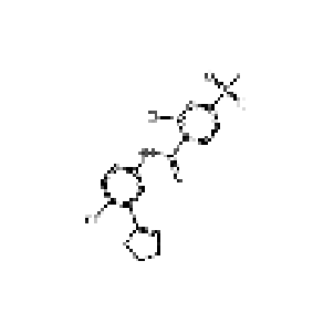 CS(=O)(=O)c1ccc(C(=O)Nc2ccc(Cl)c(C3=CCCC3)c2)c(Cl)c1